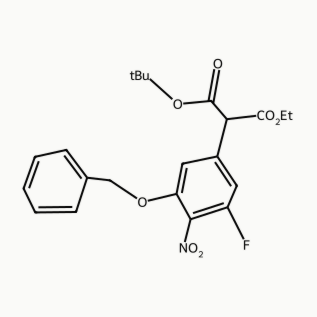 CCOC(=O)C(C(=O)OC(C)(C)C)c1cc(F)c([N+](=O)[O-])c(OCc2ccccc2)c1